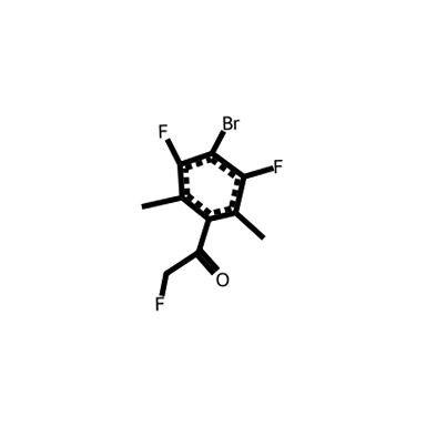 Cc1c(F)c(Br)c(F)c(C)c1C(=O)CF